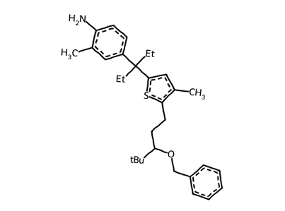 CCC(CC)(c1ccc(N)c(C)c1)c1cc(C)c(CCC(OCc2ccccc2)C(C)(C)C)s1